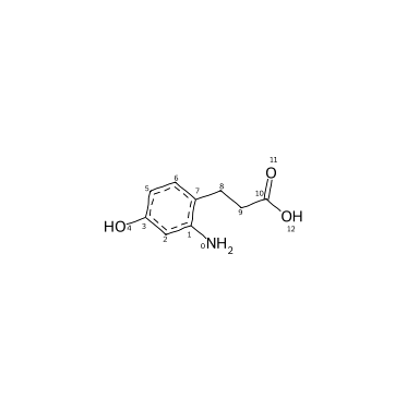 Nc1cc(O)ccc1CCC(=O)O